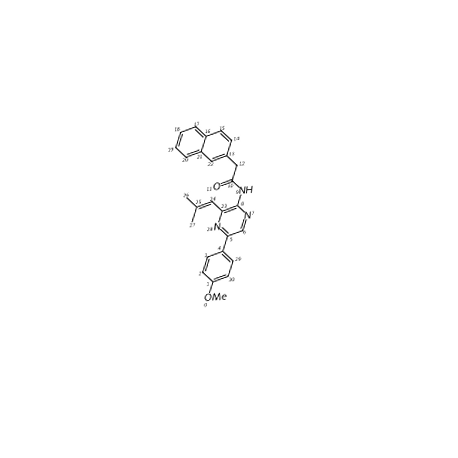 COc1ccc(-c2cnc(NC(=O)Cc3ccc4ccccc4c3)c(C=C(C)C)n2)cc1